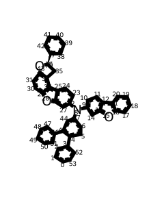 c1ccc(-c2ccc(N(c3ccc4c(c3)oc3ccccc34)c3ccc4c(c3)oc3ccc5c(c34)C[C@H](c3ccccc3)O5)cc2-c2ccccc2)cc1